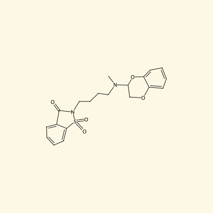 CN(CCCCN1C(=O)c2ccccc2S1(=O)=O)C1COc2ccccc2O1